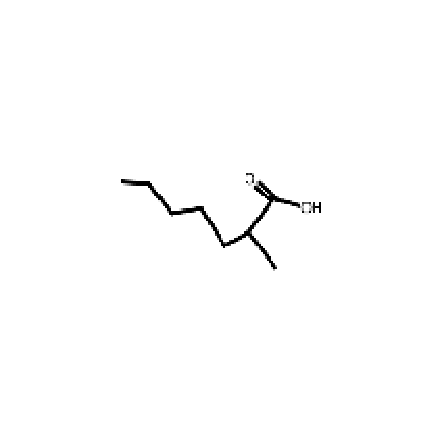 CCCCC[C](C)C(=O)O